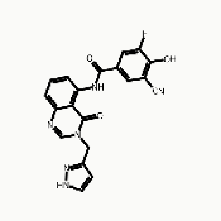 N#Cc1cc(C(=O)Nc2cccc3ncn(Cc4cc[nH]n4)c(=O)c23)cc(F)c1O